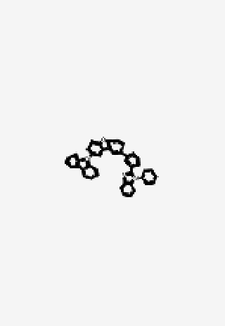 c1ccc(-n2c(-c3cccc(-c4ccc5oc6ccc(-n7c8ccccc8c8ccccc87)cc6c5c4)c3)nc3ccccc32)cc1